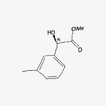 COC(=O)[C@H](O)c1cccc(C)c1